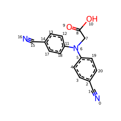 N#Cc1ccc(N(CC(=O)O)c2ccc(C#N)cc2)cc1